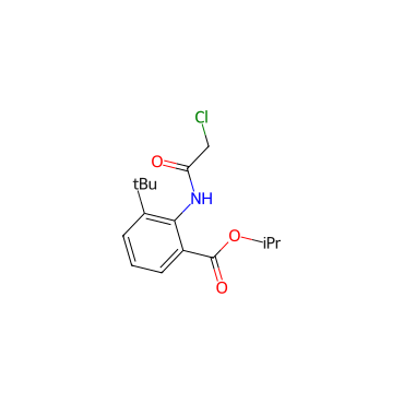 CC(C)OC(=O)c1cccc(C(C)(C)C)c1NC(=O)CCl